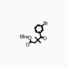 CC(C)(C)OC(=O)CC(C)(C)C(=O)c1cccc(Br)c1